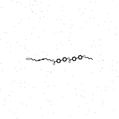 CCCCCOc1ccc(-c2ccc(C(=O)Oc3ccc(-c4ccc(C(=O)OCCCCC#CC#CCCCCO)cc4)cc3)cc2)cc1